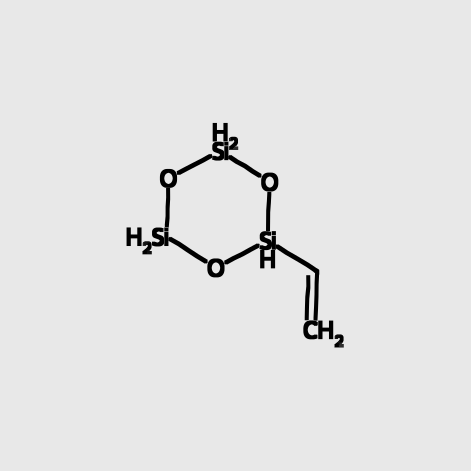 C=C[SiH]1O[SiH2]O[SiH2]O1